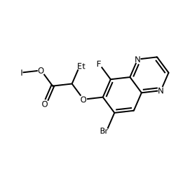 CCC(Oc1c(Br)cc2nccnc2c1F)C(=O)OI